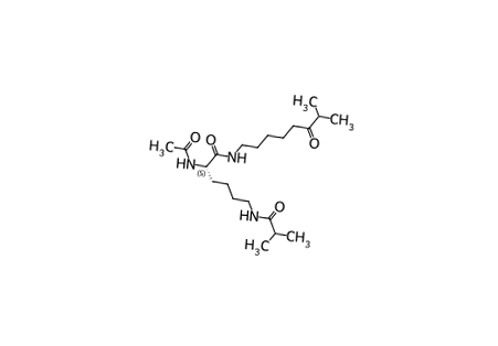 CC(=O)N[C@@H](CCCCNC(=O)C(C)C)C(=O)NCCCCCC(=O)C(C)C